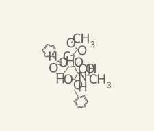 COC(=O)C(C)O[C@H]1[C@@H]2O[C@H](c3ccccc3)OC[C@H]2O[C@H](OCc2ccccc2)[C@@]1(O)NC(C)=O